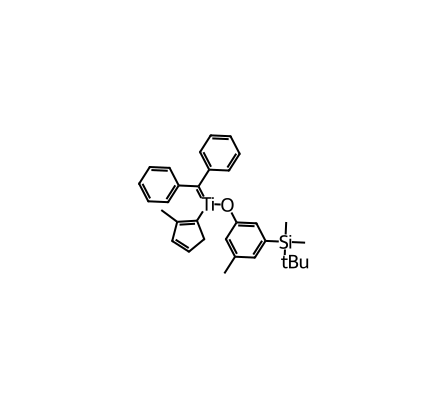 CC1=[C]([Ti]([O]c2cc(C)cc([Si](C)(C)C(C)(C)C)c2)=[C](c2ccccc2)c2ccccc2)CC=C1